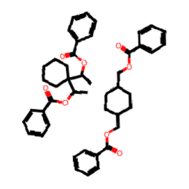 CC(OC(=O)c1ccccc1)C1(C(C)OC(=O)c2ccccc2)CCCCC1.O=C(OCC1CCC(COC(=O)c2ccccc2)CC1)c1ccccc1